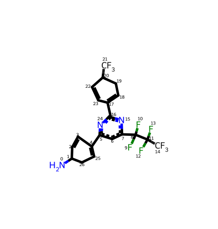 NC1C=CC(c2cc(C(F)(F)C(F)(F)C(F)(F)F)nc(C3=CCC(C(F)(F)F)C=C3)n2)=CC1